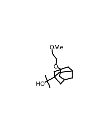 COCCOC12CC3CC(C1)CC(C(C)(C)O)(C3)C2